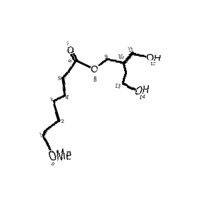 COCCCCCC(=O)OCC(CO)CO